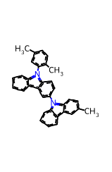 Cc1ccc(C)c(-n2c3ccccc3c3cc(-n4c5ccccc5c5cc(C)ccc54)ccc32)c1